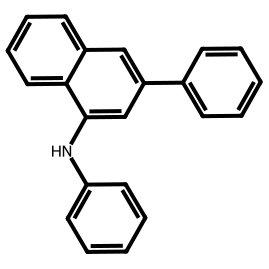 c1ccc(Nc2cc(-c3ccccc3)cc3ccccc23)cc1